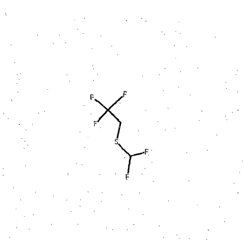 FC(F)SCC(F)(F)F